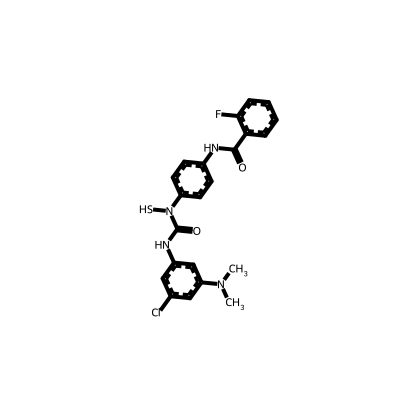 CN(C)c1cc(Cl)cc(NC(=O)N(S)c2ccc(NC(=O)c3ccccc3F)cc2)c1